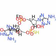 CCO[P@@]1(=O)OCC23C[C@@H]2[C@@H](n2cnc4c(N)ncnc42)[C@H](O)[C@@H]3O[P@@](=O)(S)OC[C@H]2O[C@@H](n3cnc4c(=O)[nH]c(N)nc43)[C@H](O1)[C@@H]2OC